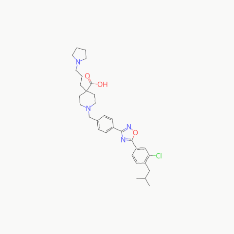 CC(C)Cc1ccc(-c2nc(-c3ccc(CN4CCC(CCCN5CCCC5)(C(=O)O)CC4)cc3)no2)cc1Cl